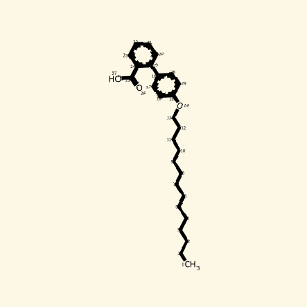 CCCCCCCCCCCCCCOc1ccc(-c2ccccc2C(=O)O)cc1